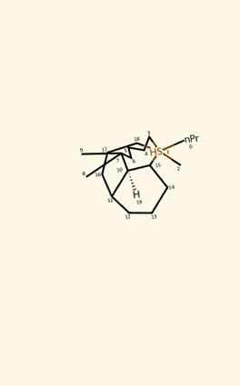 CCC[SH]12(C)CCCCC(C)(C)[C@@H]3C(CCCC31)CCC2